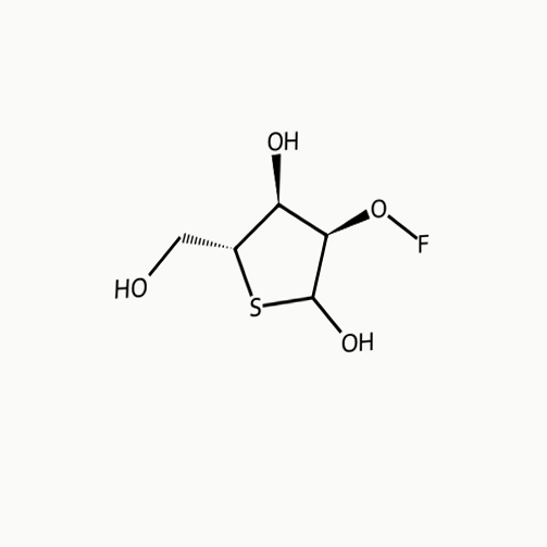 OC[C@H]1SC(O)[C@H](OF)[C@@H]1O